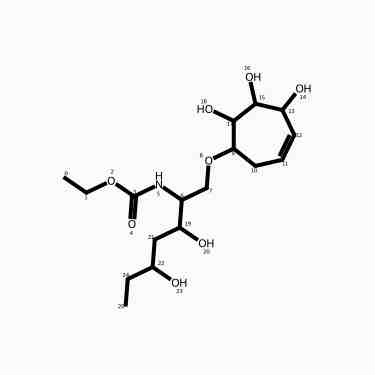 CCOC(=O)NC(COC1CC=CC(O)C(O)C1O)C(O)CC(O)CC